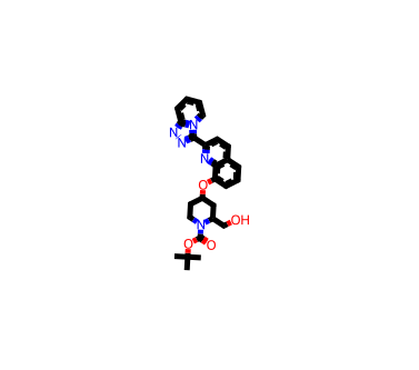 CC(C)(C)OC(=O)N1CCC(Oc2cccc3ccc(-c4nnc5ccccn45)nc23)CC1CO